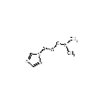 CN(C)OOSn1cncn1